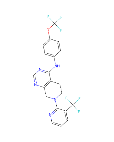 FC(F)(F)Oc1ccc(Nc2ncnc3c2CCN(c2ncccc2C(F)(F)F)C3)cc1